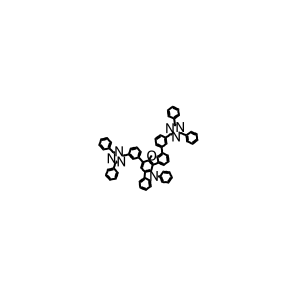 c1ccc(-c2nc(-c3ccccc3)nc(-c3cccc(-c4cccc5c4oc4c(-c6cccc(-c7nc(-c8ccccc8)nc(-c8ccccc8)n7)c6)cc6c7ccccc7n(-c7ccccc7)c6c45)c3)n2)cc1